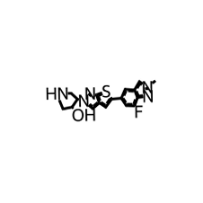 Cn1cc2cc(-c3cc4cn([C@@H]5CNCC[C@@H]5O)nc4s3)cc(F)c2n1